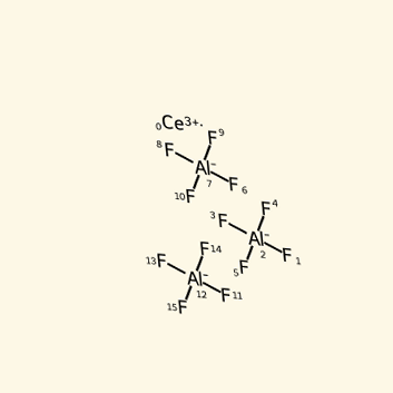 [Ce+3].[F][Al-]([F])([F])[F].[F][Al-]([F])([F])[F].[F][Al-]([F])([F])[F]